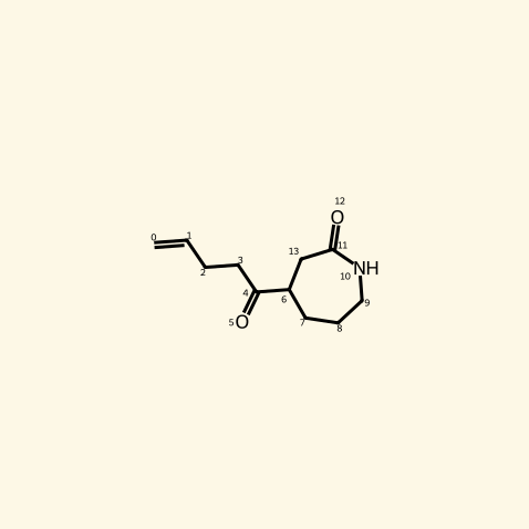 C=CCCC(=O)C1CCCNC(=O)C1